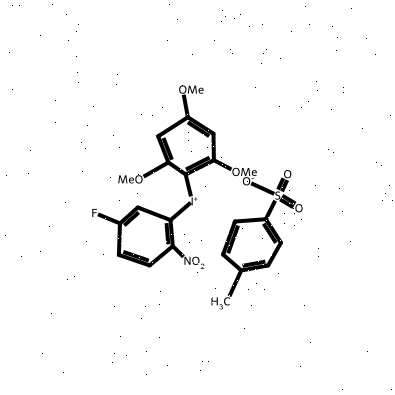 COc1cc(OC)c([I+]c2cc(F)ccc2[N+](=O)[O-])c(OC)c1.Cc1ccc(S(=O)(=O)[O-])cc1